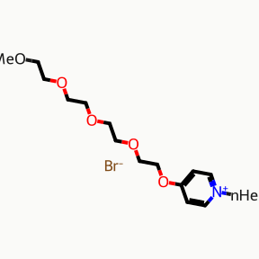 CCCCCC[n+]1ccc(OCCOCCOCCOCCOC)cc1.[Br-]